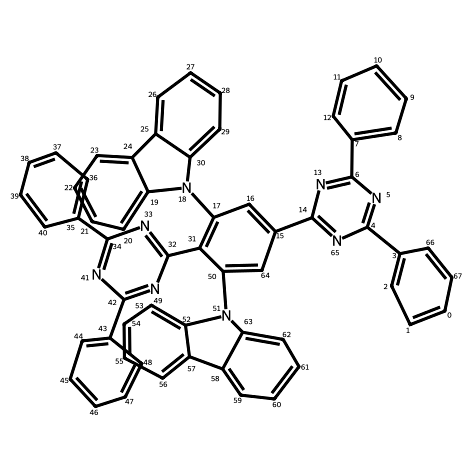 c1ccc(-c2nc(-c3ccccc3)nc(-c3cc(-n4c5ccccc5c5ccccc54)c(-c4nc(-c5ccccc5)nc(-c5ccccc5)n4)c(-n4c5ccccc5c5ccccc54)c3)n2)cc1